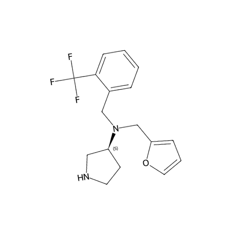 FC(F)(F)c1ccccc1CN(Cc1ccco1)[C@H]1CCNC1